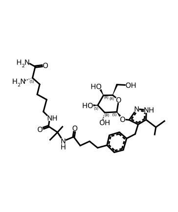 CC(C)c1[nH]nc(O[C@@H]2O[C@H](CO)[C@H](O)[C@H](O)[C@H]2O)c1Cc1ccc(CCCC(=O)NC(C)(C)C(=O)NCCCC[C@H](N)C(N)=O)cc1